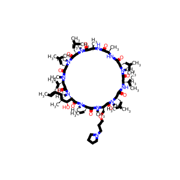 C/C=C/C[C@@H](C)[C@@H](O)[C@H]1C(=O)N(C)[C@@H](CC)C(=O)N(C)[C@H](COCCCN2CCCC2)C(=O)N(C)[C@@H](CC(C)C)C(=O)N[C@@H](C(C)C)C(=O)N(C)[C@@H](CC(C)C)C(=O)N[C@@H](C)C(=O)N[C@H](C)C(=O)N(C)[C@@H](CC(C)C)C(=O)N(C)[C@@H](CC(C)C)C(=O)N(C)[C@@H](C(C)C)C(=O)N1C